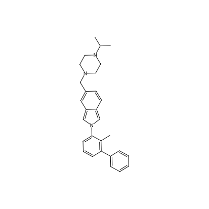 Cc1c(-c2ccccc2)cccc1-n1cc2ccc(CN3CCN(C(C)C)CC3)cc2c1